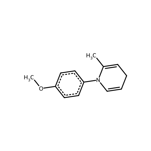 COc1ccc(N2C=CCC=C2C)cc1